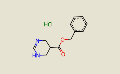 Cl.O=C(OCc1ccccc1)C1CN=CNC1